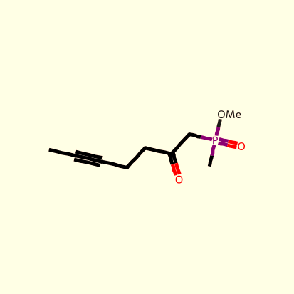 CC#CCCC(=O)CP(C)(=O)OC